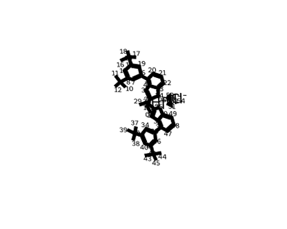 CCC1=Cc2c(-c3cc(C(C)(C)C)cc(C(C)(C)C)c3)cccc2[CH]1[Hf+2]1([CH]2C(CC)=Cc3c(-c4cc(C(C)(C)C)cc(C(C)(C)C)c4)cccc32)[CH2][CH2]1.[Cl-].[Cl-]